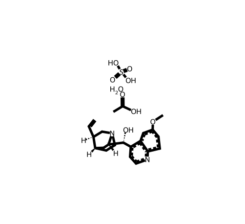 C=C[C@H]1CN2CC[C@H]1C[C@H]2[C@H](O)c1ccnc2ccc(OC)cc12.CC(=O)O.O.O=S(=O)(O)O